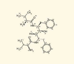 CC(C)[C@H](N)C(=O)N[C@@H](Cc1ccccc1)[C@@H](O)[C@H](O)[C@H](Cc1ccccc1)NC(=O)[C@@H](N)C(C)C